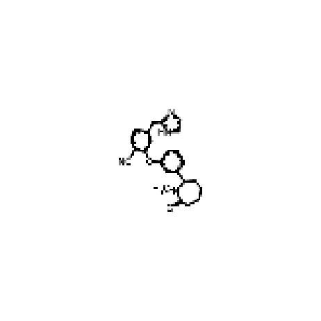 CN1C(=O)CCCCC1c1cccc(Oc2cc(Cc3ncc[nH]3)ccc2C#N)c1